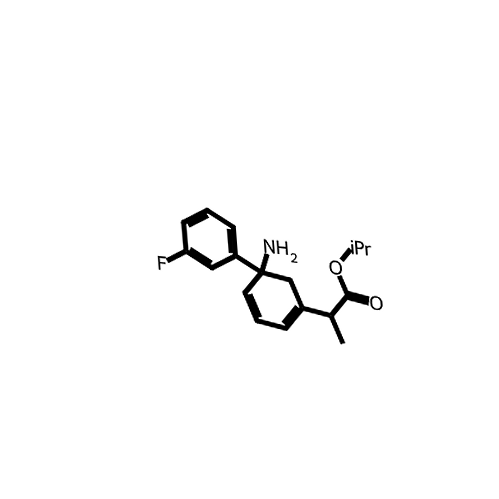 CC(C)OC(=O)C(C)C1=CC=CC(N)(c2cccc(F)c2)C1